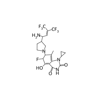 CC1=c2c(c(=O)[nH]c(=O)n2C2CC2)=C(O)C(F)C1N1CCC(C(N)C=C(C(F)(F)F)C(F)(F)F)C1